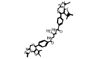 Cc1sc2c(c1C)C(c1ccc(C(=O)NCC(O)CNC(=O)c3ccc(C4=NCc5nnc(C)n5-c5sc(C)c(C)c54)cc3)cc1)=NCc1nnc(C)n1-2